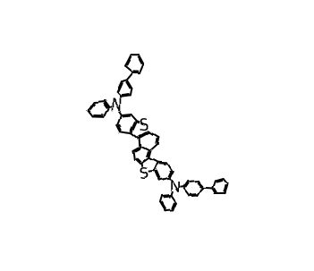 c1ccc(-c2ccc(N(c3ccccc3)c3ccc4c(c3)sc3ccc5c(ccc6sc7cc(N(c8ccccc8)c8ccc(-c9ccccc9)cc8)ccc7c65)c34)cc2)cc1